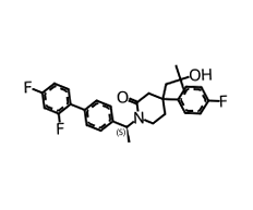 C[C@@H](c1ccc(-c2ccc(F)cc2F)cc1)N1CCC(CC(C)(C)O)(c2ccc(F)cc2)CC1=O